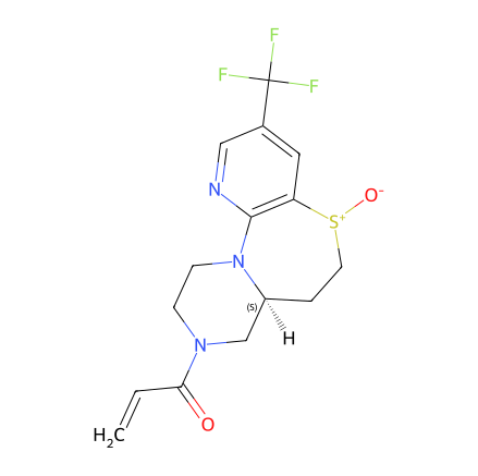 C=CC(=O)N1CCN2c3ncc(C(F)(F)F)cc3[S+]([O-])CC[C@H]2C1